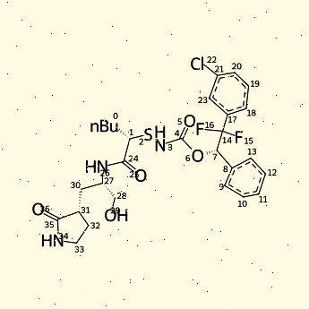 CCCC[C@H](SNC(=O)O[C@@H](c1ccccc1)C(F)(F)c1cccc(Cl)c1)C(=O)N[C@H](CO)C[C@@H]1CCNC1=O